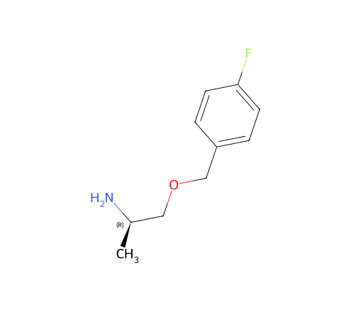 C[C@@H](N)COCc1ccc(F)cc1